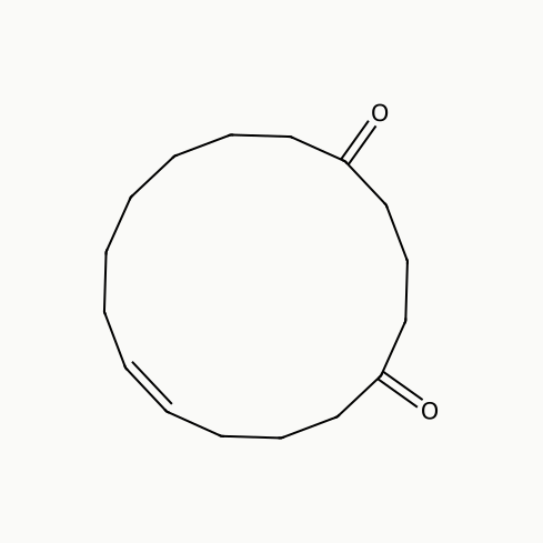 O=C1CCCC=CCCCCCCC(=O)CCC1